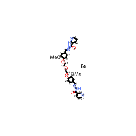 COc1cc(C=NNC(=O)c2cccnc2)ccc1OCCOCCOc1ccc(C=NNC(=O)c2cccnc2)cc1OC.[Fe]